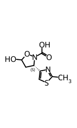 Cc1nc([C@@H]2CC(O)ON2C(=O)O)cs1